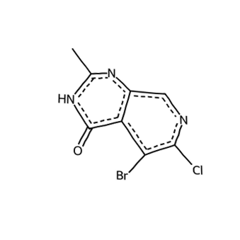 Cc1nc2cnc(Cl)c(Br)c2c(=O)[nH]1